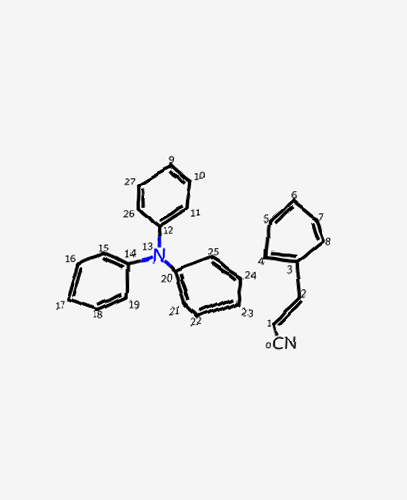 N#CC=Cc1ccccc1.c1ccc(N(c2ccccc2)c2ccccc2)cc1